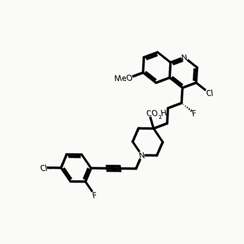 COc1ccc2ncc(Cl)c([C@H](F)CCC3(C(=O)O)CCN(CC#Cc4ccc(Cl)cc4F)CC3)c2c1